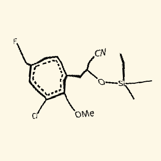 COc1c(Cl)cc(F)cc1C(C#N)O[Si](C)(C)C